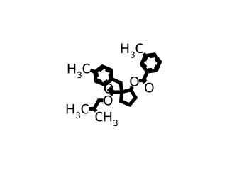 Cc1ccc(CC2(C(=O)OCC(C)C)CCCC2OC(=O)c2cccc(C)c2)cc1